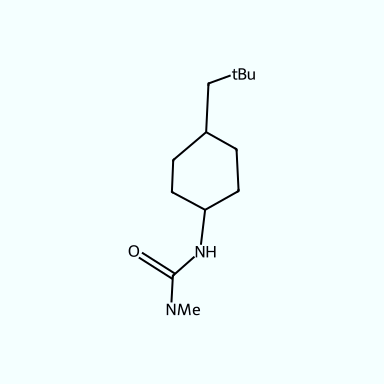 CNC(=O)NC1CCC(CC(C)(C)C)CC1